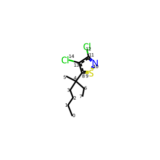 CCCCC(C)(CC)c1snc(Cl)c1Cl